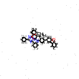 CC1(C)c2ccccc2N(c2ccccc2-c2nc(-c3ccccc3)nc(-c3ccccc3)n2)c2ccc(-c3ccc4oc5ccccc5c4c3)cc21